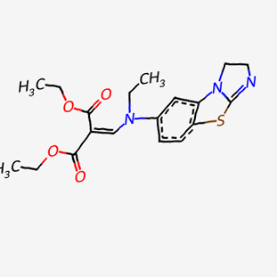 CCOC(=O)C(=CN(CC)c1ccc2c(c1)N1CCN=C1S2)C(=O)OCC